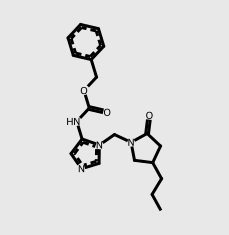 CCCC1CC(=O)N(Cn2cncc2NC(=O)OCc2ccccc2)C1